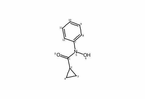 O=C(C1CC1)N(O)c1cc[c]cc1